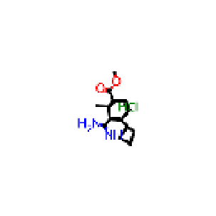 COC(=O)c1ccc(C2CCC2)c(C(=N)N)c1C.Cl